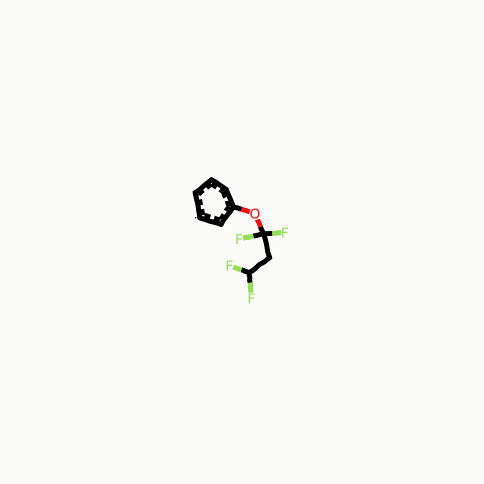 FC(F)CC(F)(F)Oc1c[c]ccc1